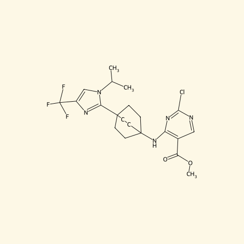 COC(=O)c1cnc(Cl)nc1NC12CCC(c3nc(C(F)(F)F)cn3C(C)C)(CC1)CC2